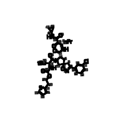 CCC[C@H](NC(=O)[C@@H]1C[C@]2(CC(c3cccc(Cl)c3)=NO2)CN1C(=O)[C@@H](NC(=O)OCCc1cccs1)C(C)(C)C)C(=O)C(=O)NC1CC1